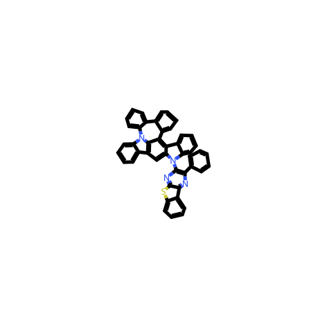 c1ccc(-c2nc3c(nc2-n2c4ccccc4c4c5c6c(cc42)c2ccccc2n6-c2ccccc2-c2ccccc2-5)sc2ccccc23)cc1